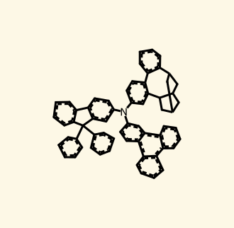 c1ccc(C2(c3ccccc3)c3ccccc3-c3ccc(N(c4ccc5c(c4)C4CC6CC(CC4C6)c4ccccc4-5)c4ccc5c6ccccc6c6ccccc6c5c4)cc32)cc1